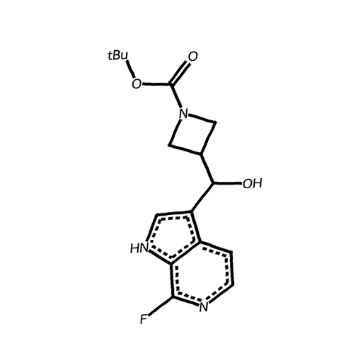 CC(C)(C)OC(=O)N1CC(C(O)c2c[nH]c3c(F)nccc23)C1